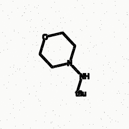 CC(C)(C)NN1CCOCC1